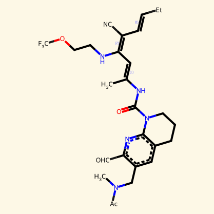 CC/C=C/C(C#N)=C(\C=C(/C)NC(=O)N1CCCc2cc(CN(C)C(C)=O)c(C=O)nc21)NCCOC(F)(F)F